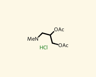 CNCC(COC(C)=O)OC(C)=O.Cl